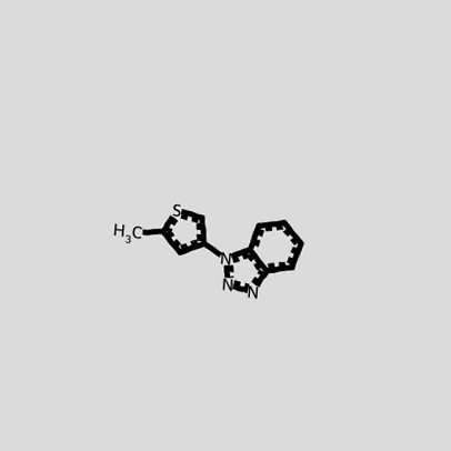 Cc1cc(-n2nnc3ccccc32)cs1